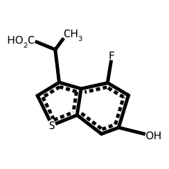 CC(C(=O)O)c1csc2cc(O)cc(F)c12